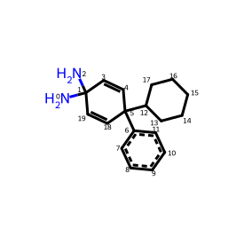 NC1(N)C=CC(c2ccccc2)(C2CCCCC2)C=C1